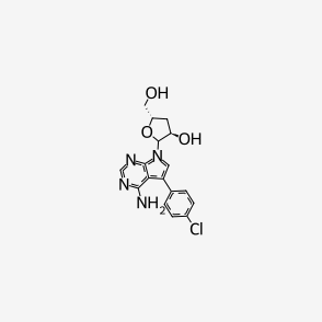 Nc1ncnc2c1c(-c1ccc(Cl)cc1)cn2C1O[C@H](CO)C[C@H]1O